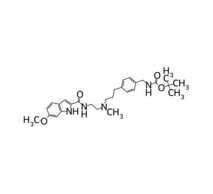 COc1ccc2cc(C(=O)NCCN(C)CCCc3ccc(CNC(=O)OC(C)(C)C)cc3)[nH]c2c1